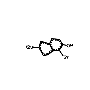 CC(C)c1c(O)ccc2cc(C(C)(C)C)ccc12